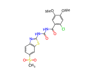 COc1cc(Cl)c(C(=O)NC(=O)Nc2nc3ccc(S(C)(=O)=O)cc3s2)cc1OC